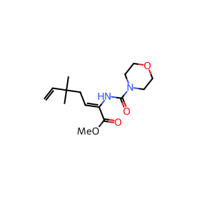 C=CC(C)(C)C/C=C(\NC(=O)N1CCOCC1)C(=O)OC